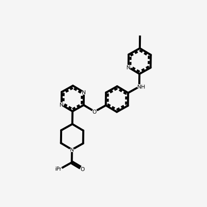 Cc1ccc(Nc2ccc(Oc3nccnc3C3CCN(C(=O)C(C)C)CC3)cc2)nc1